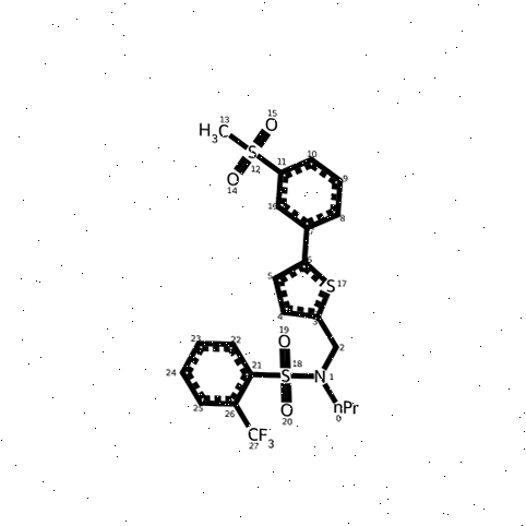 CCCN(Cc1ccc(-c2cccc(S(C)(=O)=O)c2)s1)S(=O)(=O)c1ccccc1C(F)(F)F